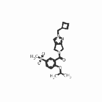 CC(C)Oc1ccc(S(C)(=O)=O)cc1C(=O)N1Cc2cn(CC3CCC3)nc2C1